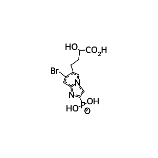 O=C(O)C(O)CCc1cn2cc(P(=O)(O)O)nc2cc1Br